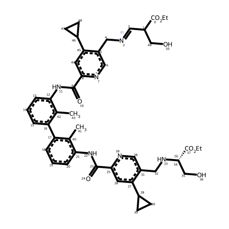 CCOC(=O)C(/C=N/Cc1cnc(C(=O)Nc2cccc(-c3cccc(NC(=O)c4cc(C5CC5)c(CN[C@@H](CO)C(=O)OCC)cn4)c3C)c2C)cc1C1CC1)CO